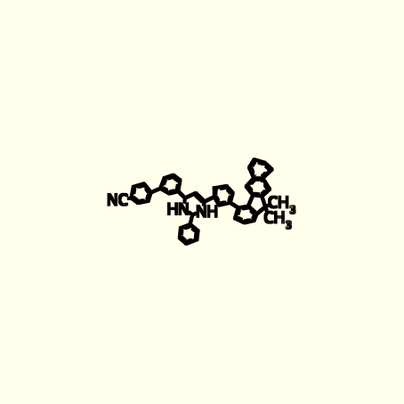 CC1(C)c2cc3ccccc3cc2-c2c(-c3cccc(C4=CC(c5cccc(-c6ccc(C#N)cc6)c5)NC(c5ccccc5)N4)c3)cccc21